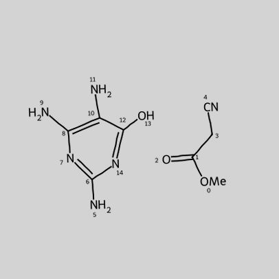 COC(=O)CC#N.Nc1nc(N)c(N)c(O)n1